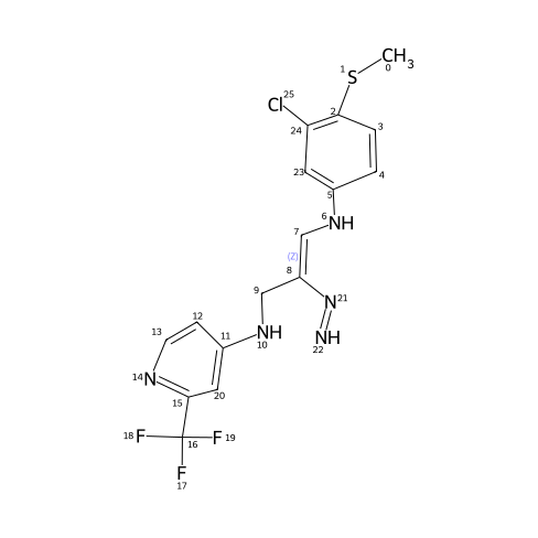 CSc1ccc(N/C=C(/CNc2ccnc(C(F)(F)F)c2)N=N)cc1Cl